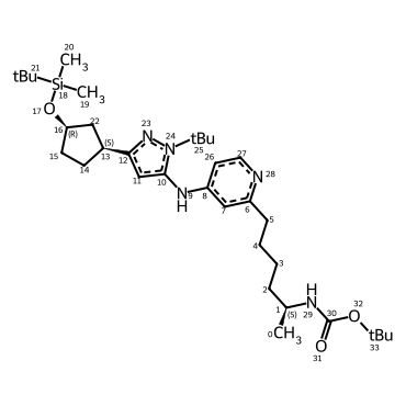 C[C@@H](CCCCc1cc(Nc2cc([C@H]3CC[C@@H](O[Si](C)(C)C(C)(C)C)C3)nn2C(C)(C)C)ccn1)NC(=O)OC(C)(C)C